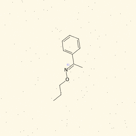 CCCO/N=C(\C)c1ccccc1